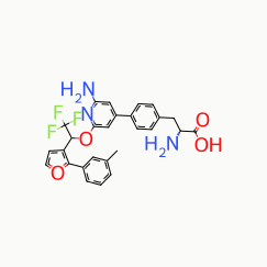 Cc1cccc(-c2occc2C(Oc2cc(-c3ccc(C[C@H](N)C(=O)O)cc3)cc(N)n2)C(F)(F)F)c1